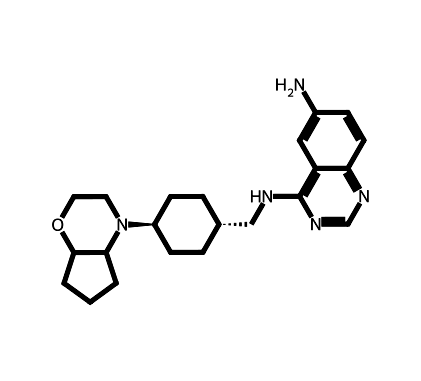 Nc1ccc2ncnc(NC[C@H]3CC[C@H](N4CCOC5CCCC54)CC3)c2c1